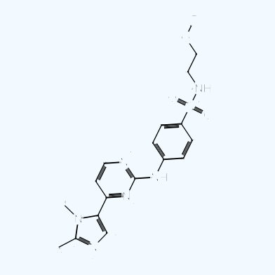 CCOCCNS(=O)(=O)c1ccc(Nc2nccc(-c3cnc(C)n3C)n2)cc1